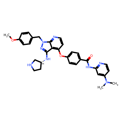 COc1ccc(Cn2nc(N[C@@H]3CCNC3)c3c(Oc4ccc(C(=O)Nc5cc(N(C)C)ccn5)cc4)ccnc32)cc1